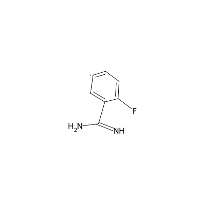 N=C(N)c1c[c]ccc1F